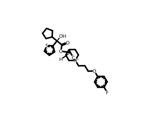 O=C(O[C@H]1C[N+]2(CCCOc3ccc(F)cc3)CCC1CC2)[C@](O)(c1cccs1)C1CCCC1